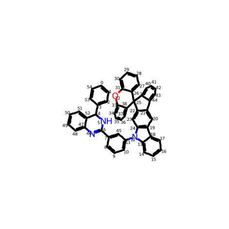 c1ccc(C2NC(c3cccc(-n4c5ccccc5c5cc6c(cc54)C4(c5ccccc5Oc5ccccc54)c4ccccc4-6)c3)=Nc3ccccc32)cc1